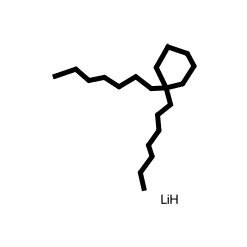 CCCCCCCC1(CCCCCCC)C[CH]CCC1.[LiH]